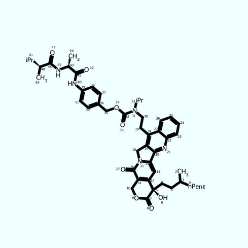 CCCCCC(C)CC[C@]1(O)C(=O)OCc2c1cc1n(c2=O)Cc2c-1nc1ccccc1c2CCN(C(=O)OCc1ccc(NC(=O)[C@H](C)NC(=O)[C@@H](C)C(C)C)cc1)C(C)C